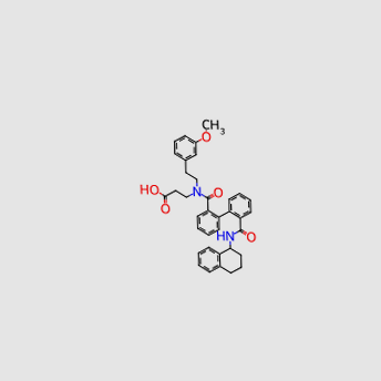 COc1cccc(CCN(CCC(=O)O)C(=O)c2ccccc2-c2ccccc2C(=O)NC2CCCc3ccccc32)c1